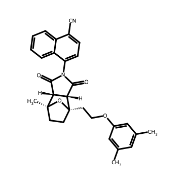 Cc1cc(C)cc(OCC[C@]23CC[C@](C)(O2)[C@@H]2C(=O)N(c4ccc(C#N)c5ccccc45)C(=O)[C@@H]23)c1